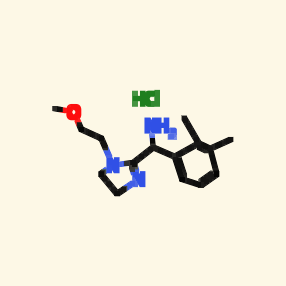 COCCN1CCN=C1C(N)c1cccc(C)c1C.Cl